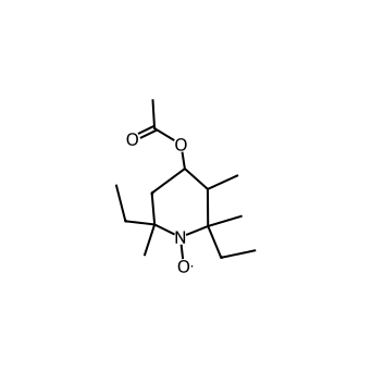 CCC1(C)CC(OC(C)=O)C(C)C(C)(CC)N1[O]